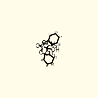 CC(C)(O)P(=O)(OC1CCCCC1)OC1CCCCC1